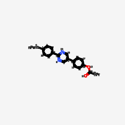 CCCCCc1ccc(-c2ncc(-c3ccc(OC(=O)CCC)cc3)cn2)cc1